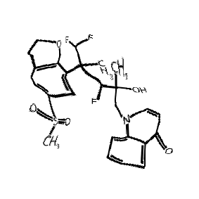 CC(O)(Cn1ccc(=O)c2ccccc21)C(F)C(C)(c1cc(S(C)(=O)=O)cc2c1OCC2)C(F)F